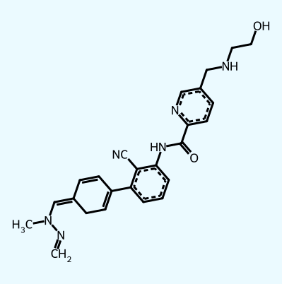 C=NN(C)/C=C1/C=CC(c2cccc(NC(=O)c3ccc(CNCCO)cn3)c2C#N)=CC1